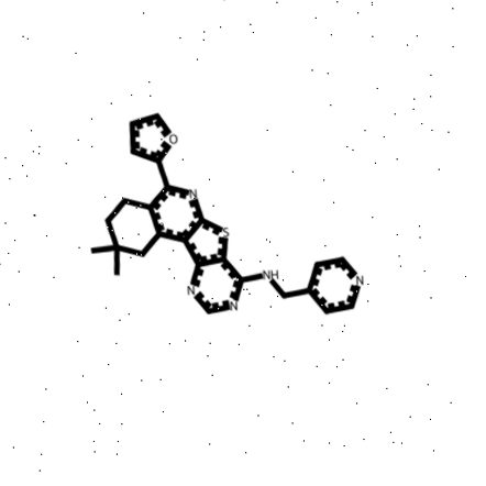 CC1(C)CCc2c(-c3ccco3)nc3sc4c(NCc5ccncc5)ncnc4c3c2C1